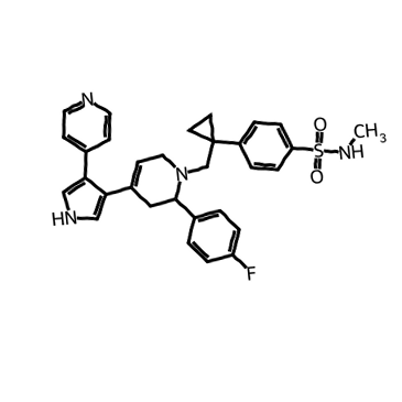 CNS(=O)(=O)c1ccc(C2(CN3CC=C(c4c[nH]cc4-c4ccncc4)CC3c3ccc(F)cc3)CC2)cc1